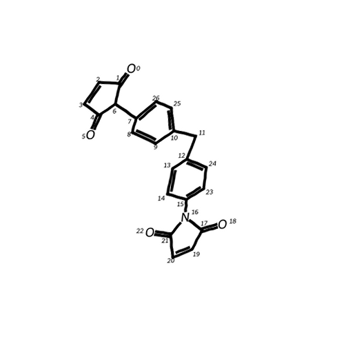 O=C1C=CC(=O)C1c1ccc(Cc2ccc(N3C(=O)C=CC3=O)cc2)cc1